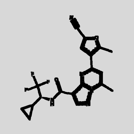 Cc1oc(C#N)cc1-c1cc(C)n2ncc(C(=O)N[C@H](C3CC3)C(F)(F)F)c2n1